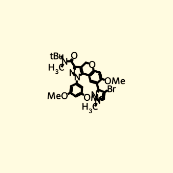 COc1cc(OC)cc(-n2nc(C(=O)N(C)C(C)(C)C)c3c2-c2cc(-c4nn(C)cc4Br)c(OC)cc2OC3)c1